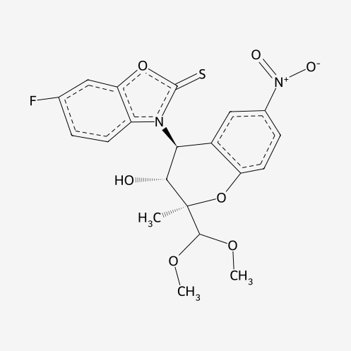 COC(OC)[C@]1(C)Oc2ccc([N+](=O)[O-])cc2[C@H](n2c(=S)oc3cc(F)ccc32)[C@H]1O